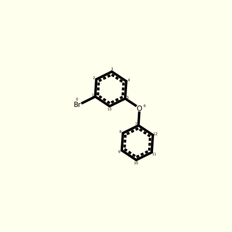 Brc1cccc(Oc2[c]cccc2)c1